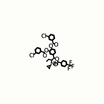 CCC(NC1CC1)C(OC(=O)c1ccc(C(F)(F)F)cc1)c1ccc(OC(=O)c2cccc(Cl)c2)c(OC(=O)c2cccc(Cl)c2)c1